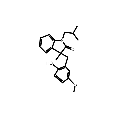 COc1ccc(O)c(CC2(C)C(=O)N(CC(C)C)c3ccccc32)c1